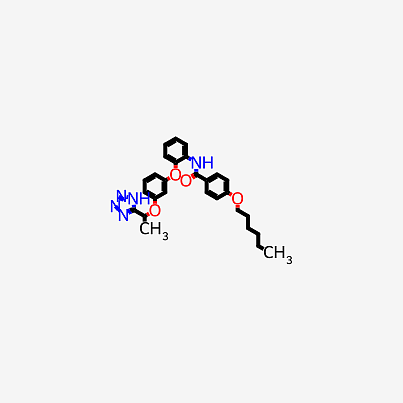 CCCCCCOc1ccc(C(=O)Nc2ccccc2Oc2cccc(OC(C)c3nnn[nH]3)c2)cc1